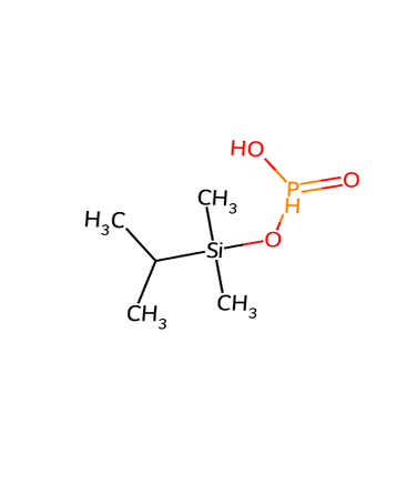 CC(C)[Si](C)(C)O[PH](=O)O